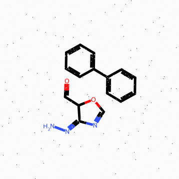 NN=C1N=COC1C=O.c1ccc(-c2ccccc2)cc1